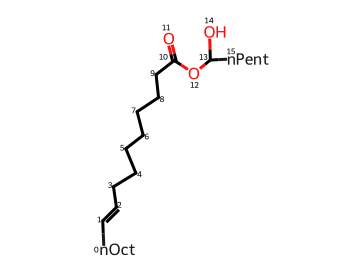 CCCCCCCCC=CCCCCCCCC(=O)OC(O)CCCCC